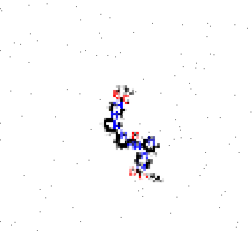 CC(C)(C)OC(=O)N1CCN(c2cccc(-c3cccc(C(=O)Nc4cnccc4N4CCN(C(=O)OC(C)(C)C)CC4)n3)n2)CC1